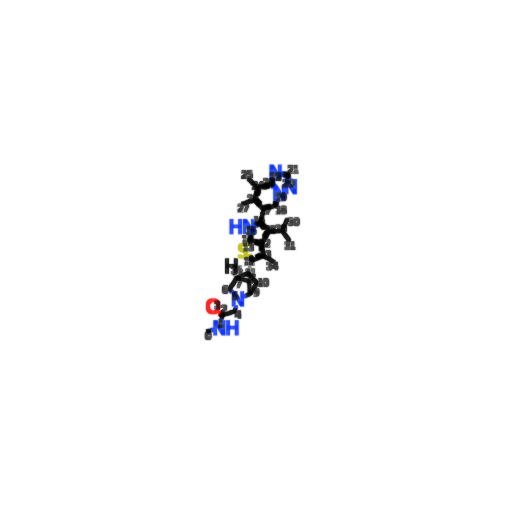 CNC(=O)CN1C[C@@H]2CC1C[C@H]2c1sc2[nH]c(-c3cn4ncnc4c(C)c3C)c(C(C)C)c2c1C